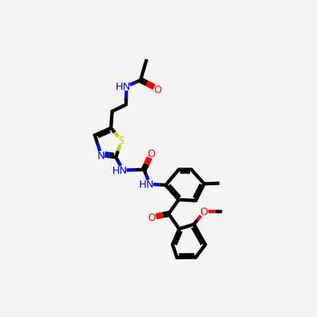 COc1ccccc1C(=O)c1cc(C)ccc1NC(=O)Nc1ncc(CCNC(C)=O)s1